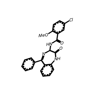 COc1ccc(Cl)cc1C(=O)NC1N=C(c2ccccc2)c2ccccc2NC1=O